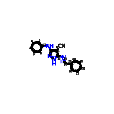 N#Cc1c(Nc2ccccc2)n[nH]c1/N=C/c1ccccc1